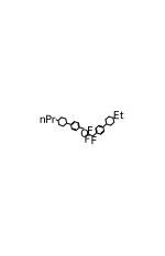 CCCC1CCC(c2ccc(COC(F)(F)C(F)c3ccc(C4CCC(CC)CC4)cc3)cc2)CC1